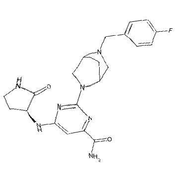 NC(=O)c1cc(N[C@H]2CCNC2=O)nc(N2CC3CC2CN3Cc2ccc(F)cc2)n1